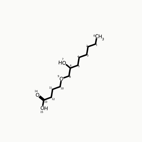 CCCCCCC(O)COCCCC(=O)O